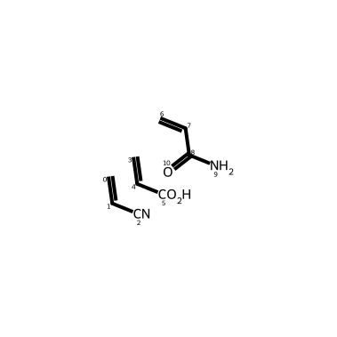 C=CC#N.C=CC(=O)O.C=CC(N)=O